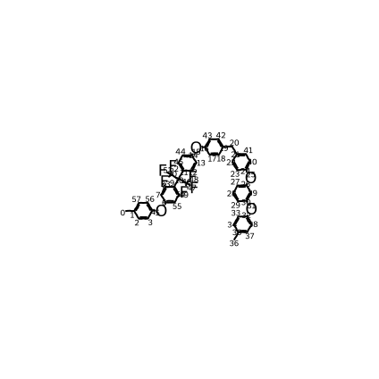 Cc1ccc(Oc2ccc(C(c3ccc(Oc4ccc(Cc5ccc(Oc6cccc(Oc7ccc(C)cc7)c6)cc5)cc4)cc3)(C(F)(F)F)C(F)(F)F)cc2)cc1